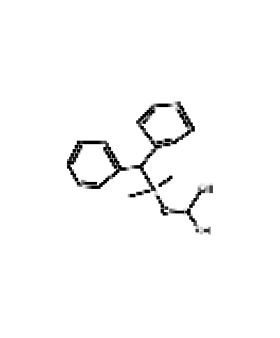 C[Si](C)(OB(O)O)C(c1ccccc1)c1ccccc1